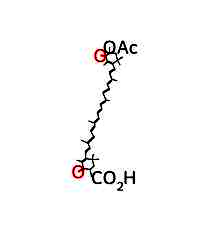 CC(=O)O[C@H]1CC(C)(C)C(/C=C/C(C)=C/C=C/C(C)=C/C=C/C=C(C)/C=C/C=C(C)/C=C/C2=C(C)C(=O)[C@H](CC(=O)O)CC2(C)C)=C(C)C1=O